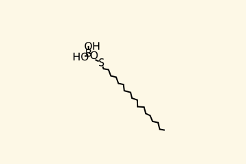 CCCCCCCCCCCCCCCCCCSCOB(O)O